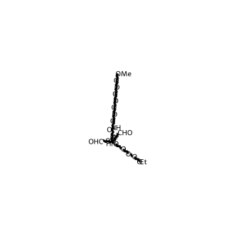 CCOCCOCCOCCOCCCONC(COCCC=O)(COCCC=O)COCCC(=O)NCCOCCOCCOCCOCCOCCOCCOCCOC